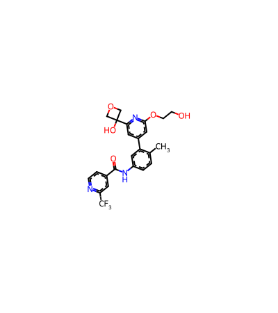 Cc1ccc(NC(=O)c2ccnc(C(F)(F)F)c2)cc1-c1cc(OCCO)nc(C2(O)COC2)c1